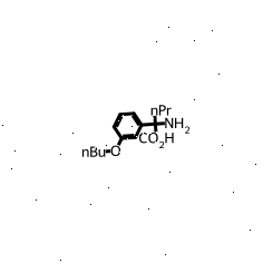 CCCCOc1cccc(C(N)(CCC)C(=O)O)c1